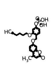 C#CCCCCOc1cc(OP(=O)(O)O)ccc1COc1ccc2c(C)cc(=O)oc2c1